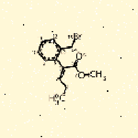 CCC=C(C(=O)OC)c1ccccc1CBr